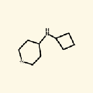 C1CC(NC2CC[N]CC2)C1